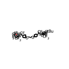 CC(C)(C)OC(F)(F)C(F)(C(F)(F)F)S(=O)(=O)O/N=C(/c1ccc(OCCCOc2ccc(/C(=N/OS(=O)(=O)C(F)(C(F)(F)F)C(F)(F)OC(C)(C)C)C(F)(F)F)cc2)cc1)C(F)(F)F